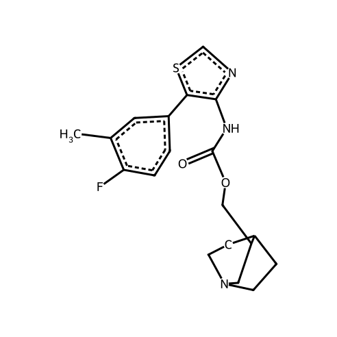 Cc1cc(-c2scnc2NC(=O)OCC2CN3CCC2CC3)ccc1F